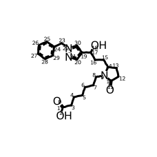 O=C(O)CCCCCCN1C(=O)CCC1CCC(O)c1cnn(Cc2ccccc2)c1